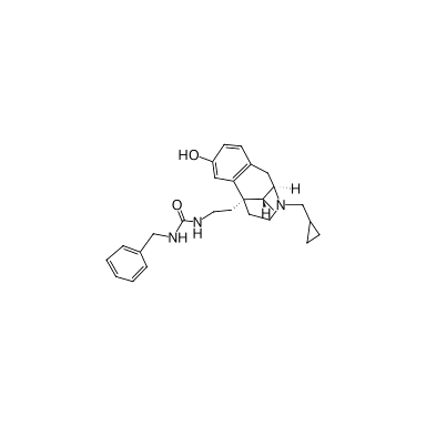 C[C@H]1[C@H]2Cc3ccc(O)cc3[C@]1(CCNC(=O)NCc1ccccc1)CCN2CC1CC1